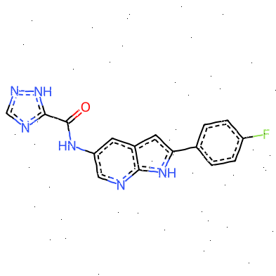 O=C(Nc1cnc2[nH]c(-c3ccc(F)cc3)cc2c1)c1ncn[nH]1